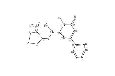 CCOC(=O)N1CCCC1CN(CC)c1nc(-c2ccncn2)cc(=O)n1C